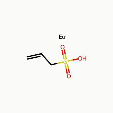 C=CCS(=O)(=O)O.[Eu]